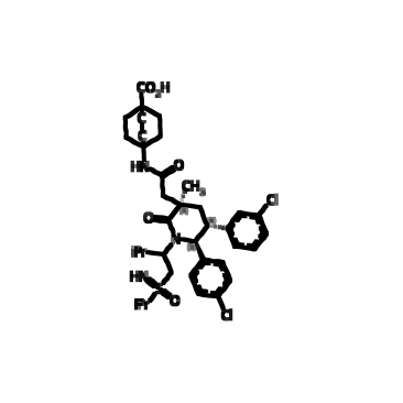 CC(C)C(CS(=N)(=O)C(C)C)N1C(=O)[C@@](C)(CC(=O)NC23CCC(C(=O)O)(CC2)CC3)C[C@H](c2cccc(Cl)c2)[C@H]1c1ccc(Cl)cc1